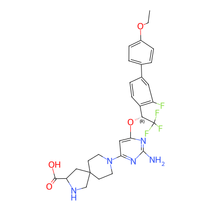 CCOc1ccc(-c2ccc([C@@H](Oc3cc(N4CCC5(CC4)CNC(C(=O)O)C5)nc(N)n3)C(F)(F)F)c(F)c2)cc1